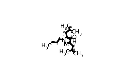 CCCCn1nc(CC(C)C)c(O)c1CC(C)C